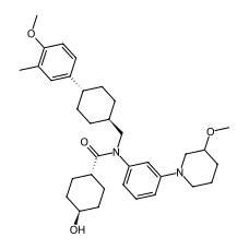 COc1ccc([C@H]2CC[C@H](CN(c3cccc(N4CCCC(OC)C4)c3)C(=O)[C@H]3CC[C@H](O)CC3)CC2)cc1C